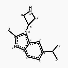 Cc1nc2ccc(C(C)C)cc2n1C1CNC1